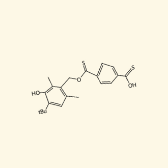 Cc1cc(C(C)(C)C)c(O)c(C)c1COC(=S)c1ccc(C(O)=S)cc1